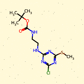 CSc1nc(Cl)nc(NCCNC(=O)OC(C)(C)C)n1